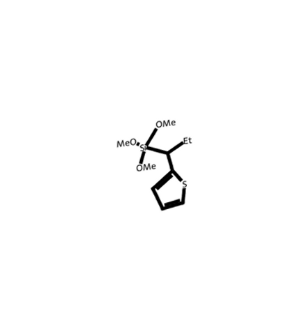 CCC(c1cccs1)[Si](OC)(OC)OC